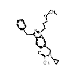 COCCCn1nc(Cc2ccccc2)c2ccc(CN(C(=O)O)C3CC3)cc21